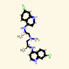 C[C@@H](CN(C)C[C@H](C)Nc1ccnc2cc(Cl)ccc12)Nc1ccnc2cc(Cl)ccc12